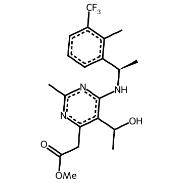 COC(=O)Cc1nc(C)nc(N[C@H](C)c2cccc(C(F)(F)F)c2C)c1C(C)O